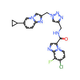 O=C(NCc1cn(Cc2cn3cc(C4CC4)ccc3n2)nn1)c1cnc2c(F)c(Cl)ccn12